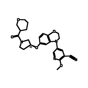 COc1ncc(N2CCOc3ccc(O[C@H]4CCN(C(=O)C5CCCOC5)C4)cc32)cc1C#N